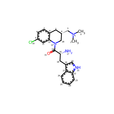 CN(C)C[C@H]1Cc2ccc(Cl)cc2N(C(=O)[C@H](N)Cc2c[nH]c3ccccc23)C1